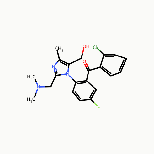 Cc1nc(CN(C)C)n(-c2ccc(F)cc2C(=O)c2ccccc2Cl)c1CO